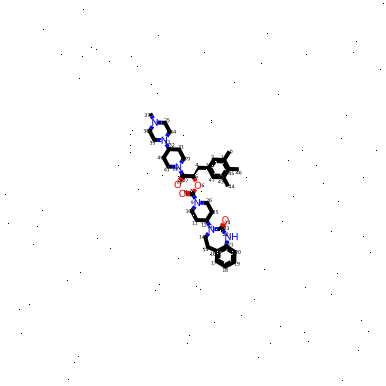 Cc1cc(C[C@@H](OC(=O)N2CCC(N3CCc4ccccc4NC3=O)CC2)C(=O)N2CCC(N3CCN(C)CC3)CC2)cc(C)c1C